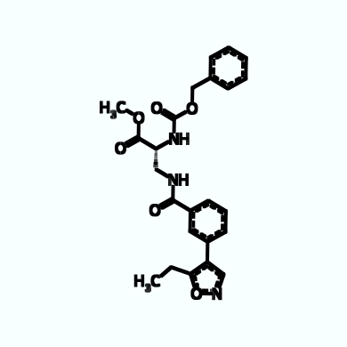 CCc1oncc1-c1cccc(C(=O)NC[C@@H](NC(=O)OCc2ccccc2)C(=O)OC)c1